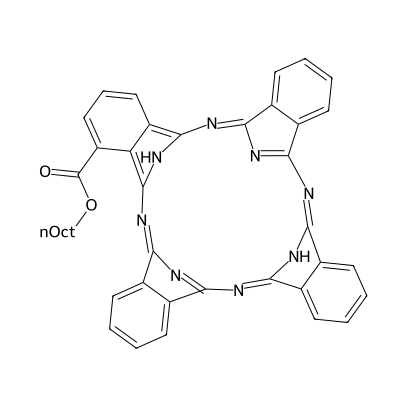 CCCCCCCCOC(=O)c1cccc2c3nc4nc(nc5[nH]c(nc6nc(nc([nH]3)c12)-c1ccccc1-6)c1ccccc51)-c1ccccc1-4